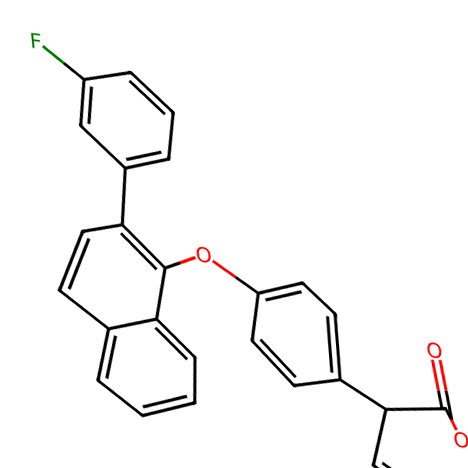 C=CC(C(=O)O)c1ccc(Oc2c(-c3cccc(F)c3)ccc3ccccc23)cc1